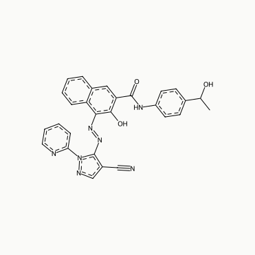 CC(O)c1ccc(NC(=O)c2cc3ccccc3c(/N=N/c3c(C#N)cnn3-c3ccccn3)c2O)cc1